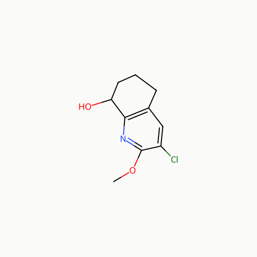 COc1nc2c(cc1Cl)CCCC2O